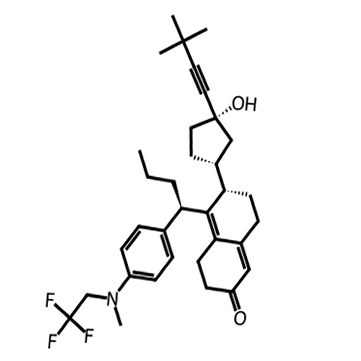 CCC[C@@H](C1=C2CCC(=O)C=C2CC[C@H]1[C@@H]1CC[C@@](O)(C#CC(C)(C)C)C1)c1ccc(N(C)CC(F)(F)F)cc1